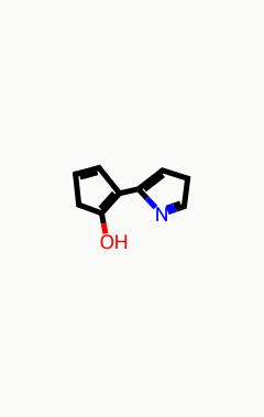 OC1=C(C2=CCC=N2)C=CC1